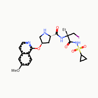 CC[C@](CI)(NC(=O)[C@@H]1C[C@@H](Oc2nccc3cc(OC)ccc23)CN1)C(=O)NS(=O)(=O)C1CC1